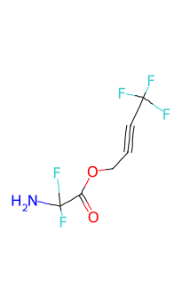 NC(F)(F)C(=O)OCC#CC(F)(F)F